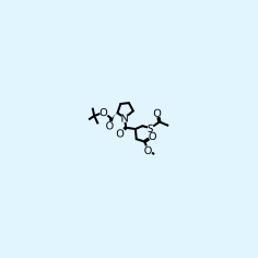 COC(=O)CC(CSC(C)=O)C(=O)N1CCC[C@H]1C(=O)OC(C)(C)C